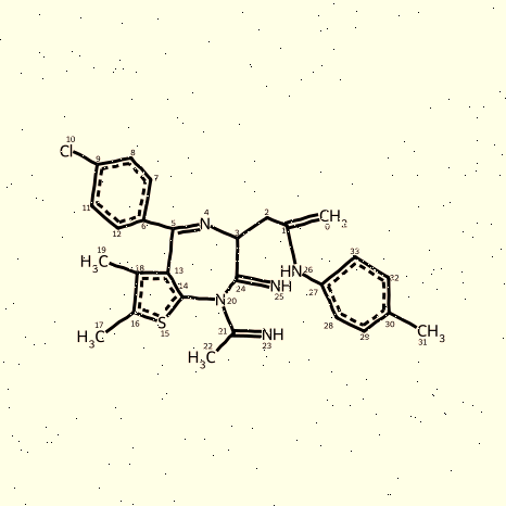 C=C(CC1N=C(c2ccc(Cl)cc2)c2c(sc(C)c2C)N(C(C)=N)C1=N)Nc1ccc(C)cc1